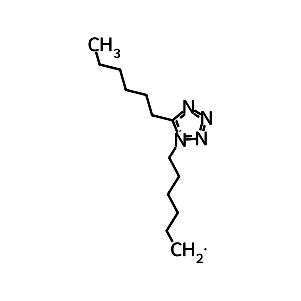 [CH2]CCCCCn1nnnc1CCCCCC